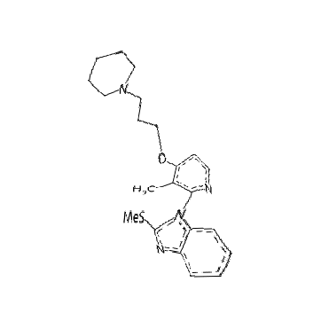 CSc1nc2ccccc2n1-c1nccc(OCCCN2CCCCC2)c1C